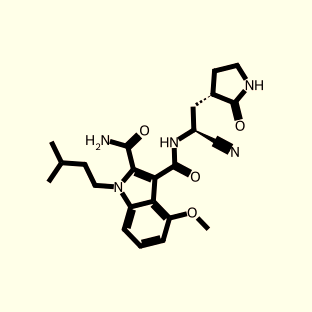 COc1cccc2c1c(C(=O)N[C@H](C#N)C[C@@H]1CCNC1=O)c(C(N)=O)n2CCC(C)C